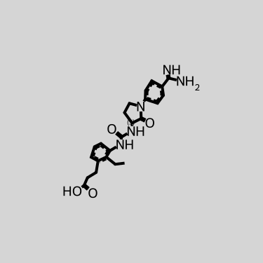 CCc1c(CCC(=O)O)cccc1NC(=O)N[C@H]1CCN(c2ccc(C(=N)N)cc2)C1=O